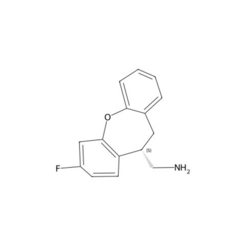 NC[C@H]1Cc2ccccc2Oc2cc(F)ccc21